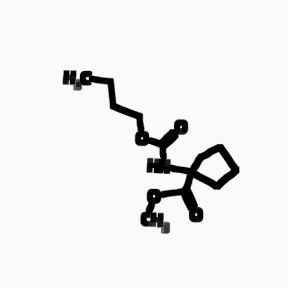 CCCCOC(=O)NC1(C(=O)OC)CCCC1